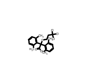 Cc1cccc(C)c1C(OCCC(Cl)(Cl)Cl)(C(=O)O)c1c(C)cccc1C